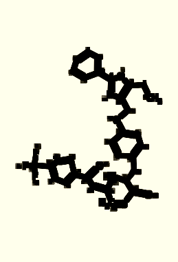 CCc1oc(-c2ccccc2)nc1COc1ccc(C[C@H](N/C(C)=C\C(=O)c2ccc(C(F)(F)F)cc2)C(=O)O)cc1